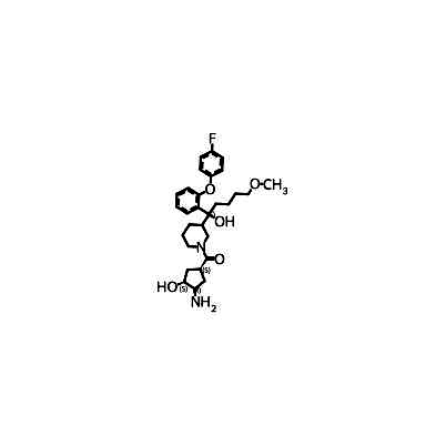 COCCCC[C@@](O)(c1ccccc1Oc1ccc(F)cc1)C1CCCN(C(=O)[C@H]2C[C@@H](N)[C@@H](O)C2)C1